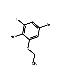 N#Cc1c(F)cc(Br)cc1OCC(F)(F)F